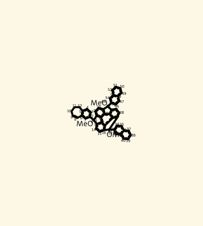 COC1(c2ccc3c(c2)C=CCCC3)c2ccc3c4c2c2c1ccc1c2c2c(ccc(c42)C3(OC)c2ccc3ccccc3c2)C1(OC)c1ccc2ccccc2c1